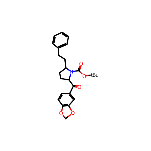 CC(C)(C)OC(=O)N1C(CCc2ccccc2)CCC1C(=O)c1ccc2c(c1)OCO2